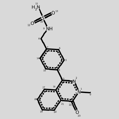 Cn1nc(-c2ccc(CNS(N)(=O)=O)cc2)c2ccccc2c1=O